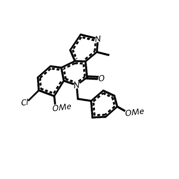 COc1ccc(Cn2c(=O)c3c(C)nccc3c3ccc(Cl)c(OC)c32)cc1